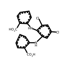 O=C(O)c1ccccc1Nc1cc(Cl)cc(Cl)c1Nc1ccccc1C(=O)O